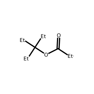 C[CH]C(=O)OC(CC)(CC)CC